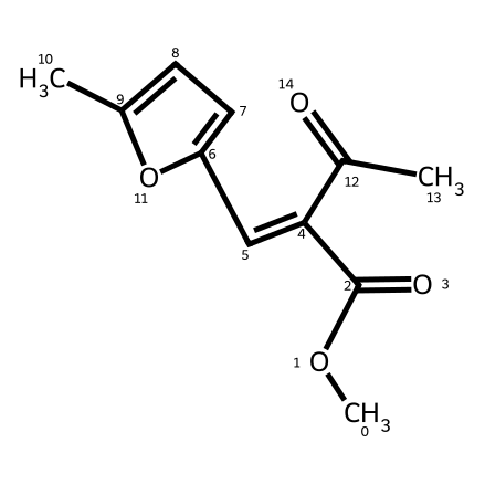 COC(=O)/C(=C/c1ccc(C)o1)C(C)=O